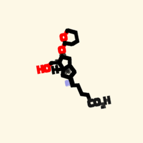 O=C(O)CCC/C=C1\CC2C[C@@H](OC3CCCCO3)[C@H](CO)[C@H]2C1